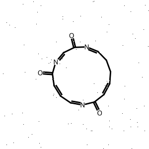 O=C1C=CCCC=NC(=O)C=NC(=O)C=CC=N1